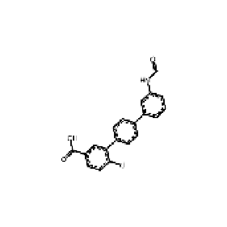 O=CNc1cccc(-c2ccc(-c3cc(C(=O)O)ccc3Cl)cc2)c1